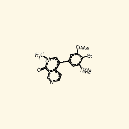 CCc1c(OC)cc(-c2cn(C)c(=O)c3cnccc23)cc1OC